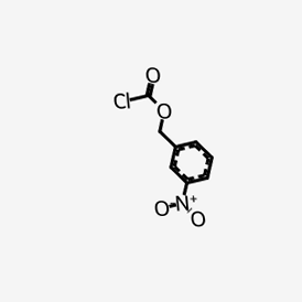 O=C(Cl)OCc1cccc([N+](=O)[O-])c1